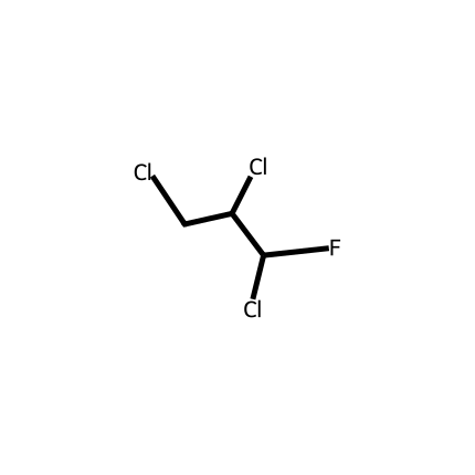 FC(Cl)C(Cl)CCl